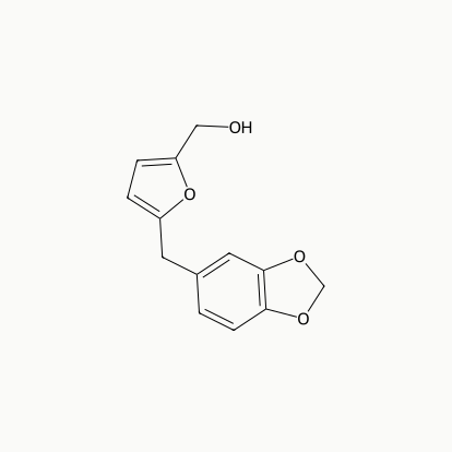 OCc1ccc(Cc2ccc3c(c2)OCO3)o1